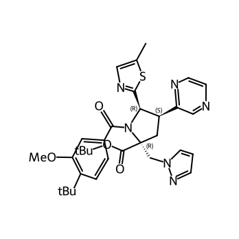 COc1cc(C(=O)N2[C@@H](c3ncc(C)s3)[C@@H](c3cnccn3)C[C@@]2(Cn2cccn2)C(=O)OC(C)(C)C)ccc1C(C)(C)C